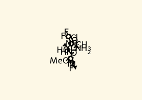 COc1cc(C(=O)NCC(O)(c2cc3c(c(-c4cc(F)c(F)cc4Cl)n2)OC[C@]3(C)C(N)=O)C2CC2)cc2cn(C3(F)CC3)nc12